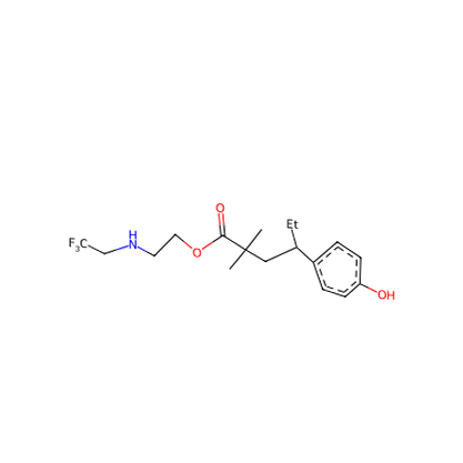 CCC(CC(C)(C)C(=O)OCCNCC(F)(F)F)c1ccc(O)cc1